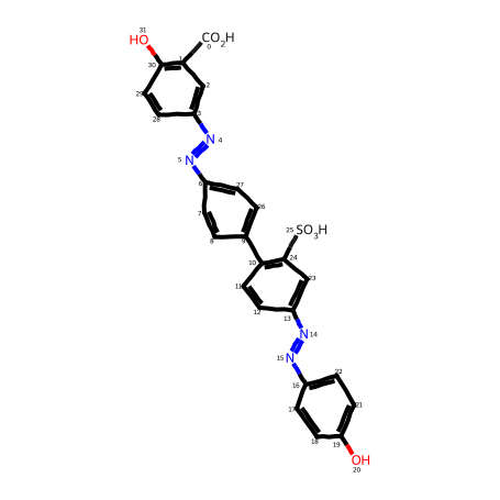 O=C(O)c1cc(N=Nc2ccc(-c3ccc(N=Nc4ccc(O)cc4)cc3S(=O)(=O)O)cc2)ccc1O